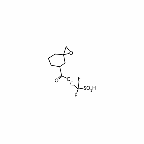 O=C(OCC(F)(F)S(=O)(=O)O)C1CCCC2(CO2)C1